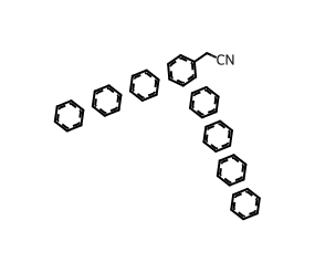 N#CCc1ccccc1.c1ccccc1.c1ccccc1.c1ccccc1.c1ccccc1.c1ccccc1.c1ccccc1.c1ccccc1